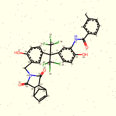 Cc1cccc(C(=O)Nc2cc(C(c3ccc(O)c(CN4C(=O)C5C6C=CC(C6)C5C4=O)c3)(C(F)(F)F)C(F)(F)F)ccc2O)c1